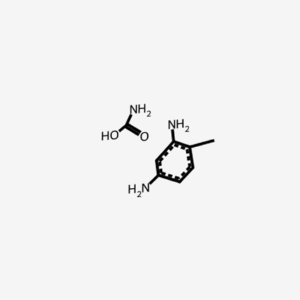 Cc1ccc(N)cc1N.NC(=O)O